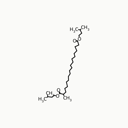 CC(C)CCOC(=O)CCCCCCCCCCCCCCCCCC(C)C(=O)OCCC(C)C